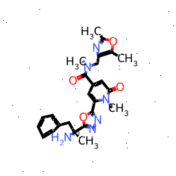 Cc1nc(CN(C)C(=O)c2cc(-c3nnc([C@](C)(N)Cc4ccccc4)o3)n(C)c(=O)c2)c(C)o1